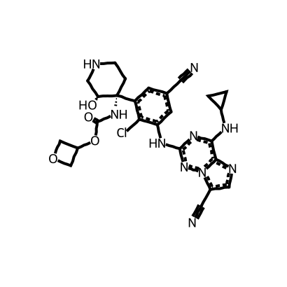 N#Cc1cc(Nc2nc(NC3CC3)c3ncc(C#N)n3n2)c(Cl)c([C@]2(NC(=O)OC3COC3)CCNC[C@H]2O)c1